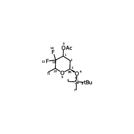 CC(=O)OC1C[C@@H](O[Si](C)(C)C(C)(C)C)OC(C)C1(F)F